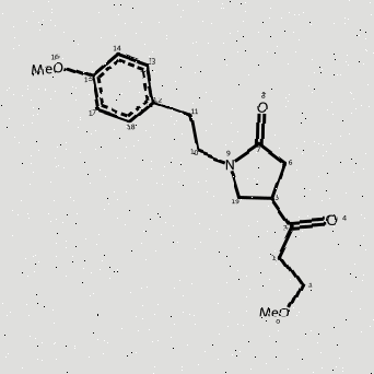 COCCC(=O)C1CC(=O)N(CCc2ccc(OC)cc2)C1